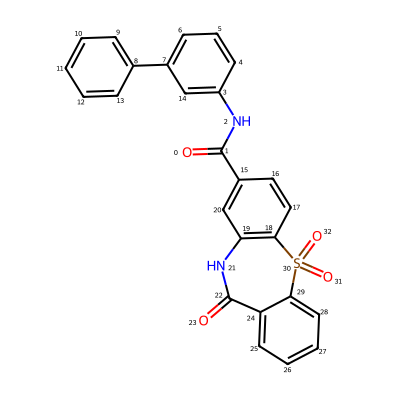 O=C(Nc1cccc(-c2ccccc2)c1)c1ccc2c(c1)NC(=O)c1ccccc1S2(=O)=O